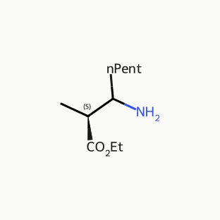 CCCCCC(N)[C@H](C)C(=O)OCC